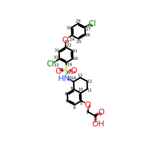 O=C(O)COc1cccc2c1CCCC2NS(=O)(=O)c1ccc(Oc2ccc(Cl)cc2)cc1Cl